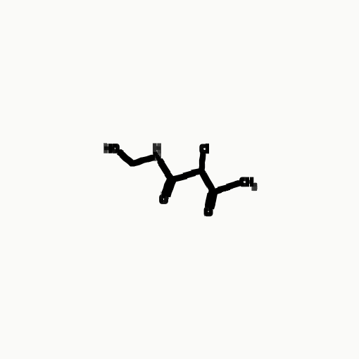 CC(=O)C(Cl)C(=O)NCO